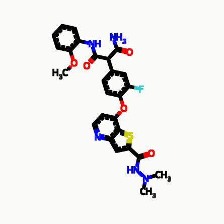 COc1ccccc1NC(=O)C(C(N)=O)c1ccc(Oc2ccnc3cc(C(=O)NN(C)C)sc23)c(F)c1